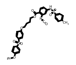 Cc1ccc(S(=O)(=O)Nc2ccc(C(=O)OCCCCOc3ccc(S(=O)(=O)c4ccc(OC(C)C)cc4)cc3)c(N=C=O)c2)cc1